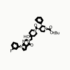 CC(C)(C)OC(=O)N1CC[C@@H](C(=O)N2CCC(O)(Cn3cnc4c(ccn4-c4cccc(F)c4)c3=O)CC2)[C@H](c2ccccc2)C1